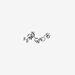 C[S+]([O-])CC1CCCN(c2cc(-c3cnc4ccc(C(F)F)nn34)ccn2)C1